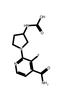 NC(=O)c1ccnc(N2CCC(NC(=O)O)C2)c1F